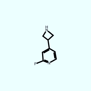 Fc1cc(C2CNC2)ccn1